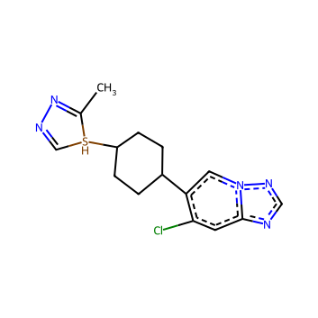 CC1=NN=C[SH]1C1CCC(c2cn3ncnc3cc2Cl)CC1